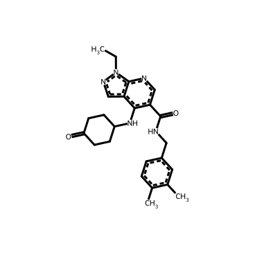 CCn1ncc2c(NC3CCC(=O)CC3)c(C(=O)NCc3ccc(C)c(C)c3)cnc21